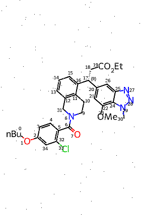 CCCCOc1ccc(C(=O)N2CCc3c(cccc3[C@H](CC(=O)OCC)c3cc(OC)c4c(c3)nnn4C)C2)c(Cl)c1